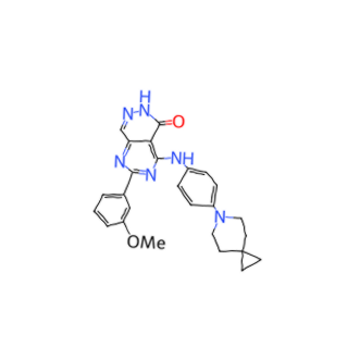 COc1cccc(-c2nc(Nc3ccc(N4CCC5(CC4)CC5)cc3)c3c(=O)[nH]ncc3n2)c1